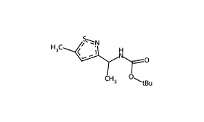 Cc1cc(C(C)NC(=O)OC(C)(C)C)ns1